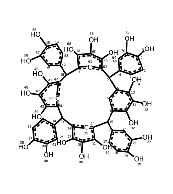 Oc1ccc(C2c3cc(c(O)c(O)c3O)C(c3ccc(O)c(O)c3)c3cc(c(O)c(O)c3O)C(c3ccc(O)c(O)c3)c3cc(c(O)c(O)c3O)C(c3ccc(O)c(O)c3)c3cc2c(O)c(O)c3O)cc1O